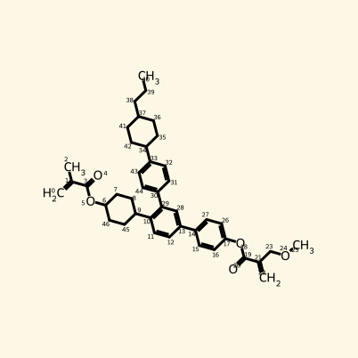 C=C(C)C(=O)OC1CCC(c2ccc(-c3ccc(OC(=O)C(=C)COC)cc3)cc2-c2ccc(C3CCC(CCC)CC3)cc2)CC1